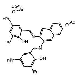 CC(=O)[O-].CC(=O)[O-].CCCc1cc(C=Nc2cc3ccccc3cc2N=Cc2cc(CCC)cc(C(C)C)c2O)c(O)c(C(C)C)c1.[Co+2]